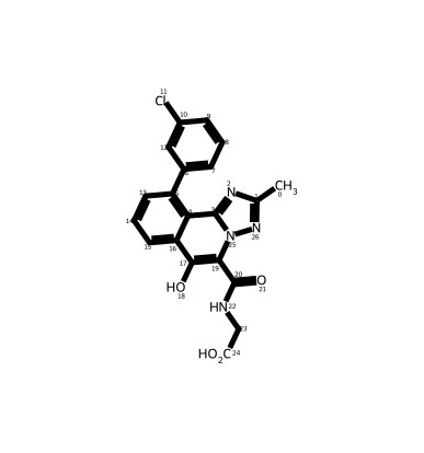 Cc1nc2c3c(-c4cccc(Cl)c4)cccc3c(O)c(C(=O)NCC(=O)O)n2n1